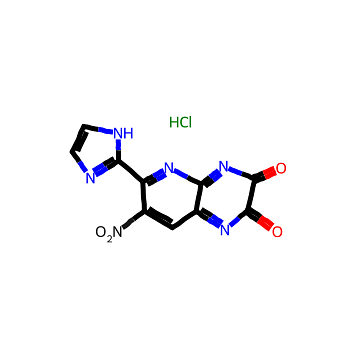 Cl.O=C1N=c2cc([N+](=O)[O-])c(-c3ncc[nH]3)nc2=NC1=O